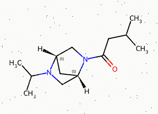 CC(C)CC(=O)N1C[C@@H]2C[C@H]1CN2C(C)C